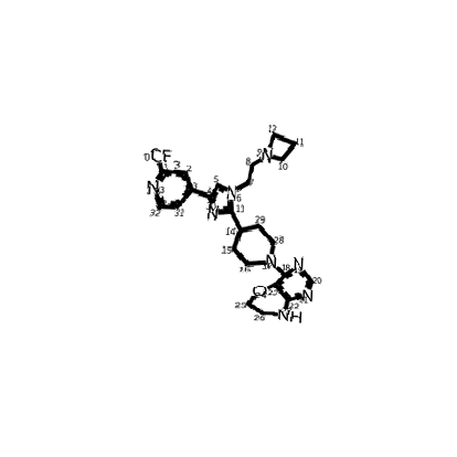 FC(F)(F)c1cc(-c2cn(CCN3CCC3)c(C3CCN(c4ncnc5c4OCCN5)CC3)n2)ccn1